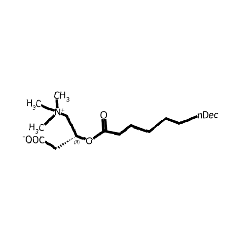 CCCCCCCCCCCCCCCC(=O)O[C@H](CC(=O)[O-])C[N+](C)(C)C